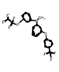 CN(c1cccc(Oc2ccc(C(F)(F)F)cc2)c1)c1cccc(OC(F)(F)C(F)F)c1